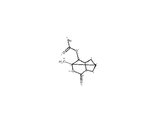 CCC(C)C(=O)OC1C2CC3CC2C(=O)OC31C